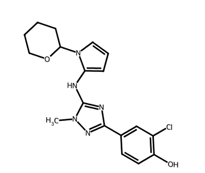 Cn1nc(-c2ccc(O)c(Cl)c2)nc1Nc1cccn1C1CCCCO1